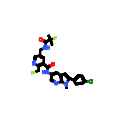 Cn1c(-c2ccc(Cl)cc2)cc2cc(NC(=O)c3cc(CNC(=O)C(C)(C)F)cnc3CF)cnc21